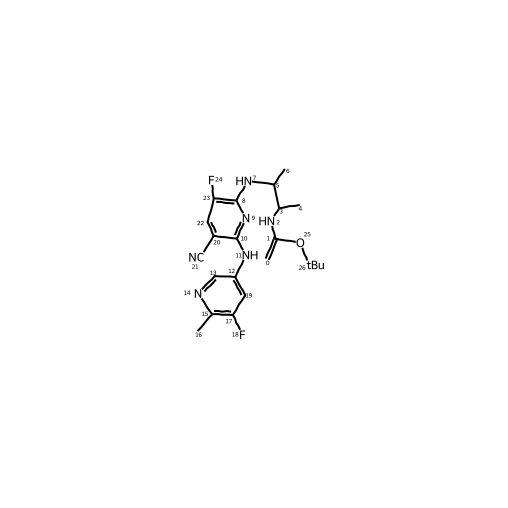 C=C(NC(C)C(C)Nc1nc(Nc2cnc(C)c(F)c2)c(C#N)cc1F)OC(C)(C)C